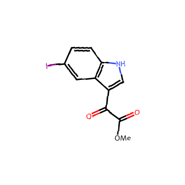 COC(=O)C(=O)c1c[nH]c2ccc(I)cc12